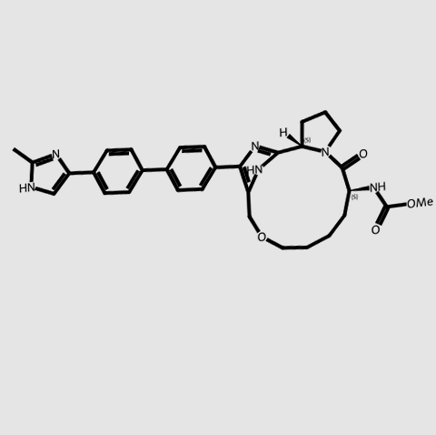 COC(=O)N[C@H]1CCCCOCc2[nH]c(nc2-c2ccc(-c3ccc(-c4c[nH]c(C)n4)cc3)cc2)[C@@H]2CCCN2C1=O